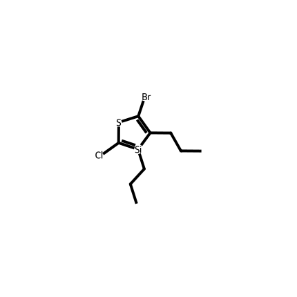 CCCc1c(Br)sc(Cl)[si]1CCC